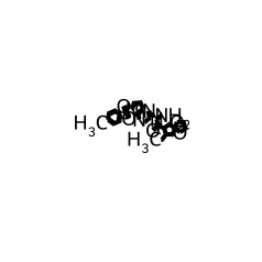 CCC1CC2(CC1C(=O)N(N)c1cnc3c(ccn3S(=O)(=O)c3ccc(C)cc3)n1)OCCO2